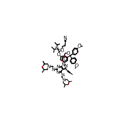 CC#Cc1nn(C2CC(OP(OCCC#N)N(C(C)C)C(C)C)C(COC(c3ccccc3)(c3ccc(OC)cc3)c3ccc(OC)cc3)O2)c2nc(/N=C/N(CC(C)C)CC(C)C)nc(/N=C/N(CC(C)C)CC(C)C)c12